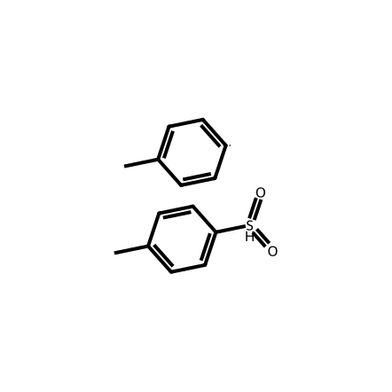 Cc1cc[c]cc1.Cc1ccc([SH](=O)=O)cc1